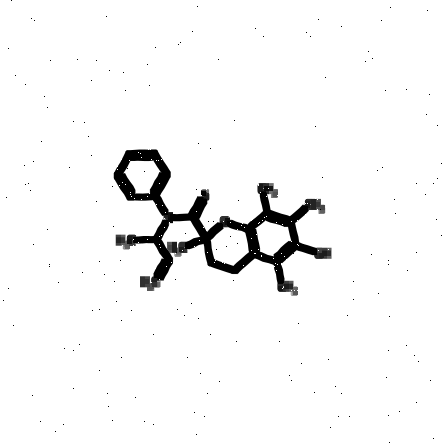 C=CC(C)N(C(=S)C1(C)CCc2c(C)c(O)c(C)c(C)c2O1)c1ccccc1